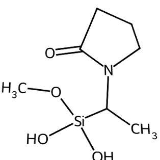 CO[Si](O)(O)C(C)N1CCCC1=O